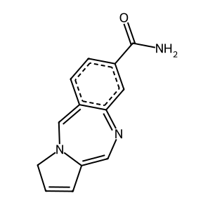 NC(=O)c1ccc2c(c1)=NC=C1C=CCN1C=2